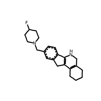 FC1CCN(Cc2ccc3c(c2)CC2=C3NCC3=C2CCCC3)CC1